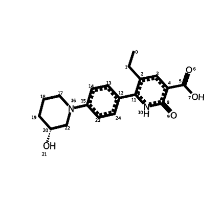 CCc1cc(C(=O)O)c(=O)[nH]c1-c1ccc(N2CCC[C@@H](O)C2)cc1